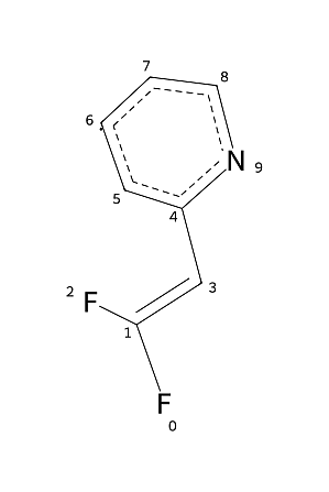 FC(F)=Cc1c[c]ccn1